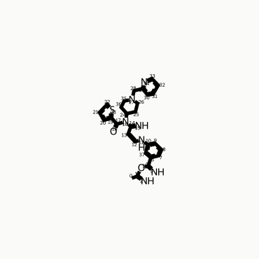 CC(=N)OC(=N)c1cccc(N/C=C\C(=N)N(C(=O)c2cccs2)C2CCN(Cc3ccccn3)CC2)c1